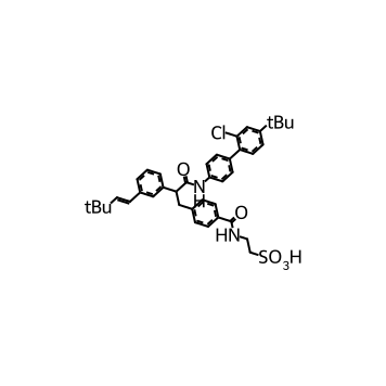 CC(C)(C)/C=C/c1cccc(C(Cc2ccc(C(=O)NCCS(=O)(=O)O)cc2)C(=O)Nc2ccc(-c3ccc(C(C)(C)C)cc3Cl)cc2)c1